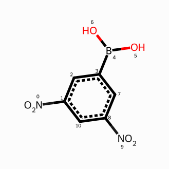 O=[N+]([O-])c1cc(B(O)O)cc([N+](=O)[O-])c1